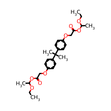 CCOC(C)OC(=O)COc1ccc(C(C)(C)c2ccc(OCC(=O)OC(C)OCC)cc2)cc1